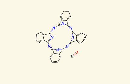 [O]=[Ti].c1ccc2c(c1)C1=NC2=NC2=NC(=NC3=NC(=NC4=NC(=N1)c1ccccc14)c1ccccc13)c1ccccc12